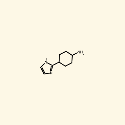 NC1CCC(c2ncc[nH]2)CC1